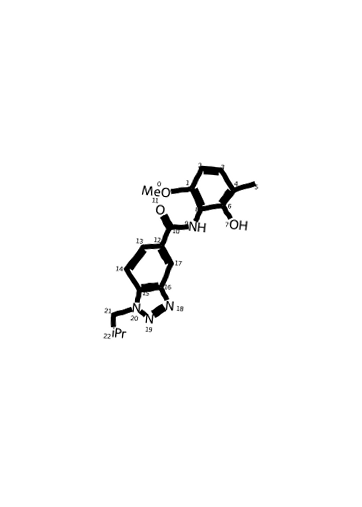 COc1ccc(C)c(O)c1NC(=O)c1ccc2c(c1)nnn2CC(C)C